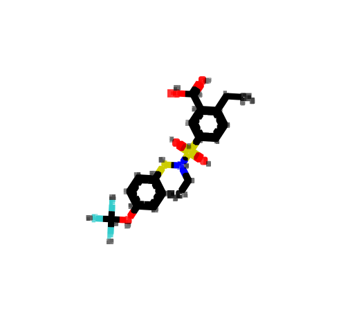 CCc1ccc(S(=O)(=O)N(CC)Sc2ccc(OC(F)(F)F)cc2)cc1C(=O)O